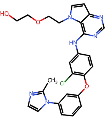 Cc1nccn1-c1cccc(Oc2ccc(Nc3ncnc4ccn(CCOCCO)c34)cc2Cl)c1